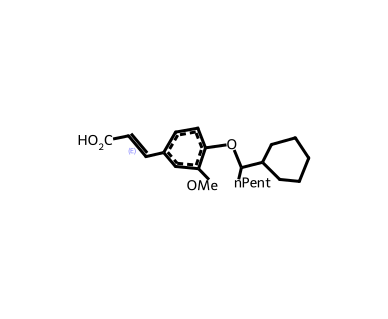 CCCCCC(Oc1ccc(/C=C/C(=O)O)cc1OC)C1CCCCC1